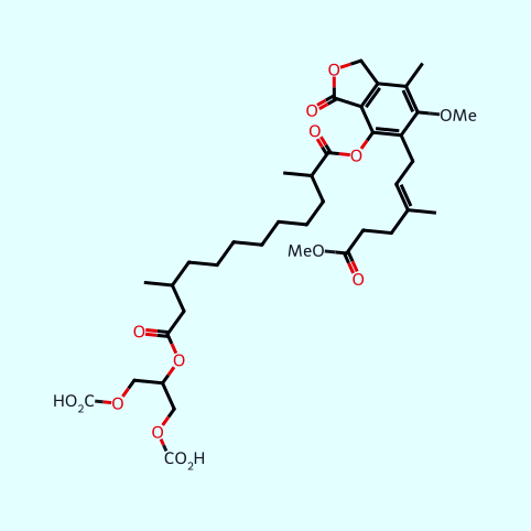 COC(=O)CC/C(C)=C/Cc1c(OC)c(C)c2c(c1OC(=O)C(C)CCCCCCCC(C)CC(=O)OC(COC(=O)O)COC(=O)O)C(=O)OC2